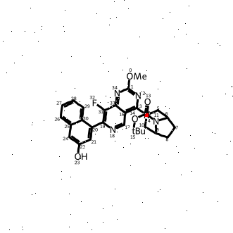 COc1nc(N2CC3CCC(C2)N3C(=O)OC(C)(C)C)c2cnc(-c3cc(O)cc4ccccc34)c(F)c2n1